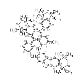 Cc1cc(N(c2ccc3oc4cc5c(cc4c3c2)C(C)(C)CCC5(C)C)c2ccccc2C)cc(N(c2ccc3c(c2)C(C)(C)CC3(C)C)c2cc3c(cc2C)C(C)(C)CCC3(C)C)c1